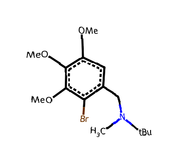 COc1cc(CN(C)C(C)(C)C)c(Br)c(OC)c1OC